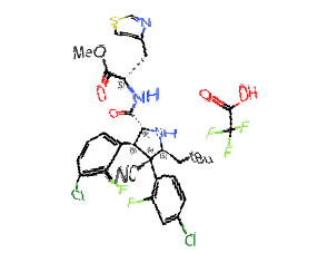 COC(=O)[C@H](Cc1cscn1)NC(=O)[C@@H]1N[C@@H](CC(C)(C)C)[C@](C#N)(c2ccc(Cl)cc2F)[C@H]1c1cccc(Cl)c1F.O=C(O)C(F)(F)F